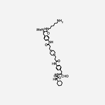 CN[C@@H](Cc1ccc(NC(=O)CCN2CCN(CCC(=O)Nc3ccc(C[C@H](C=O)NS(=O)(=O)NC4CCCCC4)cc3)CC2)cc1)C(=O)NCCCCCN